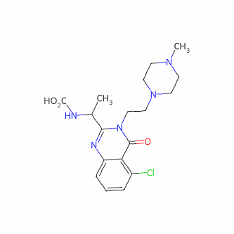 CC(NC(=O)O)c1nc2cccc(Cl)c2c(=O)n1CCN1CCN(C)CC1